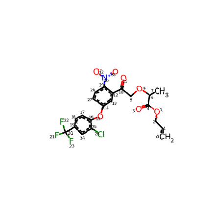 C=CCOC(=O)C(C)OCC(=O)c1cc(Oc2ccc(C(F)(F)F)cc2Cl)ccc1[N+](=O)[O-]